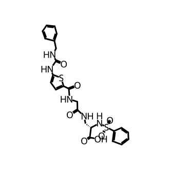 O=C(CNC(=O)c1ccc(NC(=O)NCc2ccccc2)s1)NC[C@H](NS(=O)(=O)c1ccccc1)C(=O)O